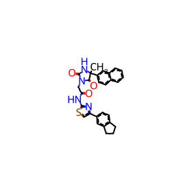 CC1(c2ccc3ccccc3c2)NC(=O)N(CC(=O)Nc2nc(-c3ccc4c(c3)CCC4)cs2)C1=O